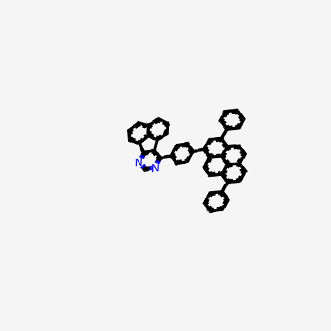 c1ccc(-c2ccc3ccc4c(-c5ccccc5)cc(-c5ccc(-c6ncnc7c6-c6cccc8cccc-7c68)cc5)c5ccc2c3c45)cc1